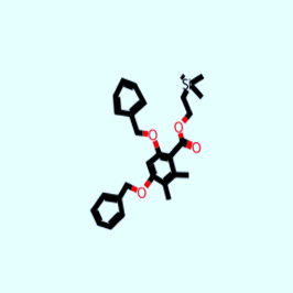 Cc1c(OCc2ccccc2)cc(OCc2ccccc2)c(C(=O)OCC[Si](C)(C)C)c1C